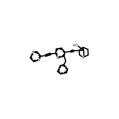 OC1(C#Cc2ccc(C#Cc3cnccn3)nc2Cc2ccccc2)CN2CCC1CC2